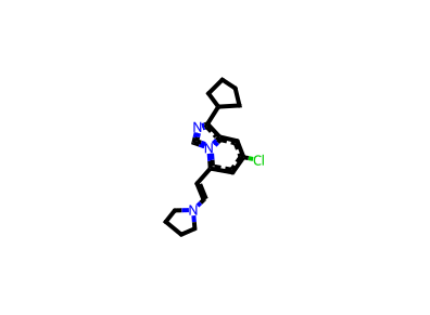 Clc1cc(C=CN2CCCC2)n2cnc(C3CCCC3)c2c1